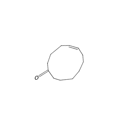 O=C1CCCC=CCCCCCC1